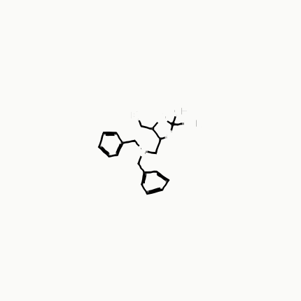 CC1(C)OC(CO)C(CN(Cc2ccccc2)Cc2ccccc2)O1